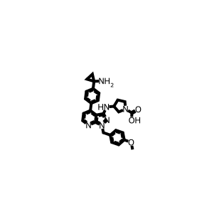 COc1ccc(Cn2nc(NC3CCN(C(=O)O)C3)c3c(-c4ccc(C5(N)CC5)cc4)ccnc32)cc1